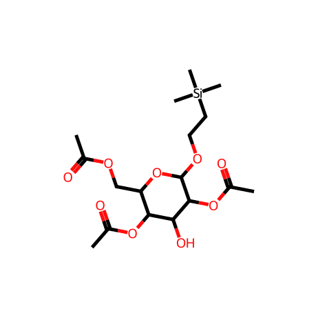 CC(=O)OCC1OC(OCC[Si](C)(C)C)C(OC(C)=O)C(O)C1OC(C)=O